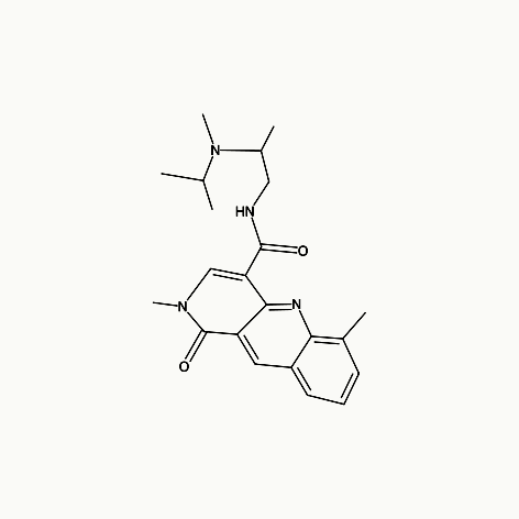 Cc1cccc2cc3c(=O)n(C)cc(C(=O)NCC(C)N(C)C(C)C)c3nc12